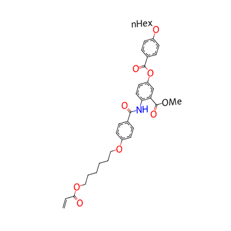 C=CC(=O)OCCCCCCOc1ccc(C(=O)Nc2ccc(OC(=O)c3ccc(OCCCCCC)cc3)cc2C(=O)OC)cc1